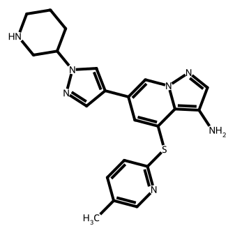 Cc1ccc(Sc2cc(-c3cnn(C4CCCNC4)c3)cn3ncc(N)c23)nc1